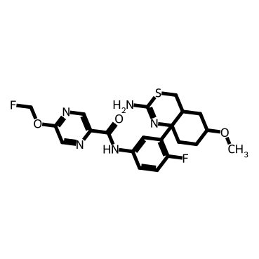 COC1CCC2(c3cc(NC(=O)c4cnc(OCF)cn4)ccc3F)N=C(N)SCC2C1